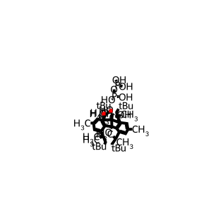 Cc1cc(C(C)(C)CC(C)(C)C)c(C(O)(c2c(C(C)(C)CC(C)(C)C)cc(C)cc2C(C)(C)CC(C)(C)C)C(CO)(CO)CO)c(C(C)(C)CC(C)(C)C)c1.OP(O)OP(O)O